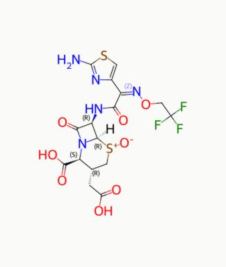 Nc1nc(/C(=N/OCC(F)(F)F)C(=O)N[C@@H]2C(=O)N3[C@H](C(=O)O)[C@@H](CC(=O)O)C[S+]([O-])[C@H]23)cs1